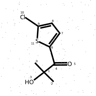 CC(C)(O)C(=O)c1ccc(Cl)s1